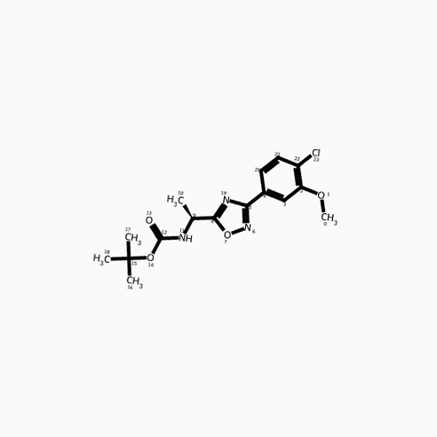 COc1cc(-c2noc([C@H](C)NC(=O)OC(C)(C)C)n2)ccc1Cl